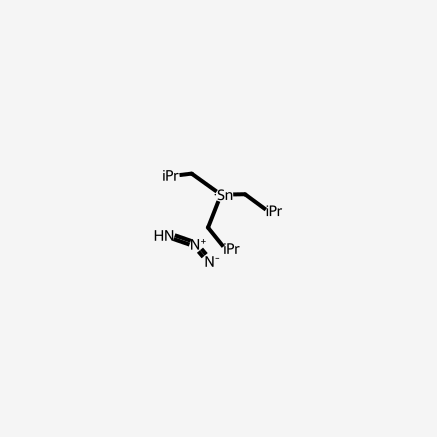 CC(C)[CH2][Sn]([CH2]C(C)C)[CH2]C(C)C.[N-]=[N+]=N